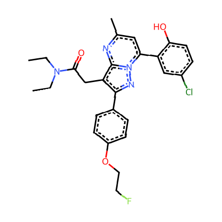 CCN(CC)C(=O)Cc1c(-c2ccc(OCCF)cc2)nn2c(-c3cc(Cl)ccc3O)cc(C)nc12